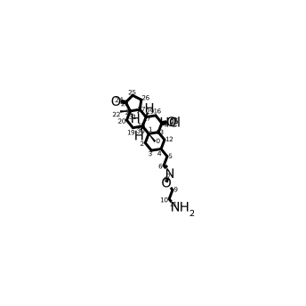 C[C@]12CCC(C/C=N/OCCN)CC1C(=O)C[C@@H]1[C@H]2CC[C@]2(C)C(=O)CC[C@@H]12.Cl